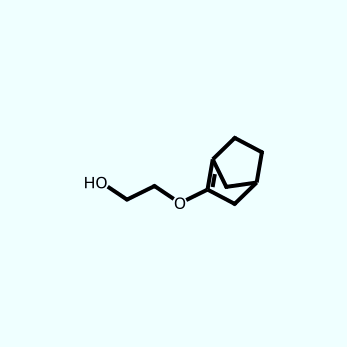 OCCOC1=C2CCC(C2)C1